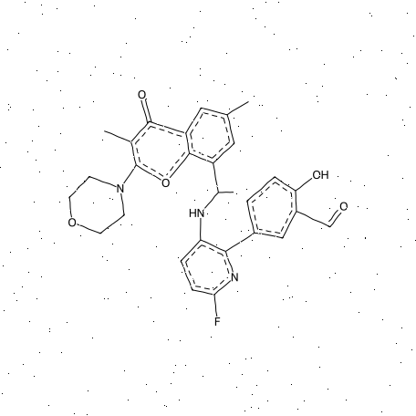 Cc1cc(C(C)Nc2ccc(F)nc2-c2ccc(O)c(C=O)c2)c2oc(N3CCOCC3)c(C)c(=O)c2c1